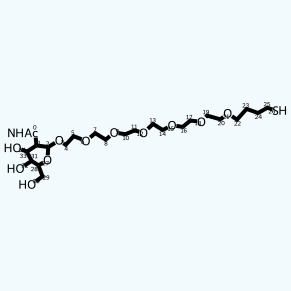 CC(=O)NC1C(OCCOCCOCCOCCOCCOCCOCCCCS)OC(CO)C(O)C1O